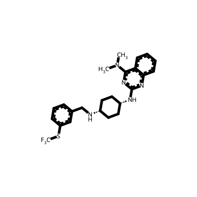 CN(C)c1nc(N[C@H]2CC[C@@H](NCc3cccc(SC(F)(F)F)c3)CC2)nc2ccccc12